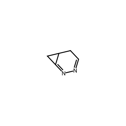 C1=NN=C2CC2C1